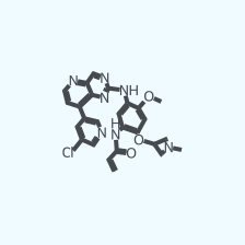 C=CC(=O)Nc1cc(Nc2ncc3nccc(-c4cncc(Cl)c4)c3n2)c(OC)cc1OC1CN(C)C1